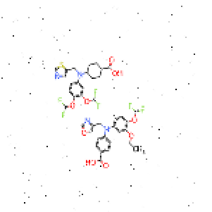 CCOc1cc(N(Cc2cocn2)c2ccc(C(=O)O)cc2)ccc1OC(F)F.O=C(O)[C@H]1CC[C@@H](N(Cc2cncs2)c2ccc(OC(F)F)c(OC(F)F)c2)CC1